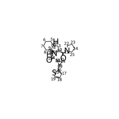 O=C([C@@H]1C[C@@H]2CCCC[C@@H]2N1C(=O)[C@@H]1C[C@H]1c1cccs1)N1CCCC1